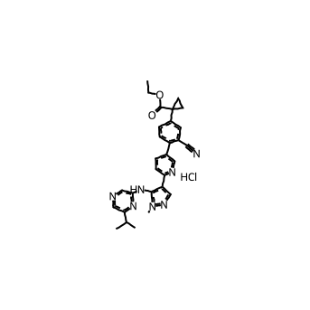 CCOC(=O)C1(c2ccc(-c3ccc(-c4cnn(C)c4Nc4cncc(C(C)C)n4)nc3)c(C#N)c2)CC1.Cl